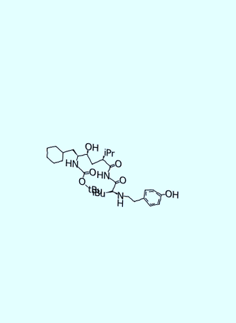 CC[C@H](C)[C@H](NCCc1ccc(O)cc1)C(=O)NC(=O)[C@@H](C[C@H](O)[C@H](CC1CCCCC1)NC(=O)OC(C)(C)C)C(C)C